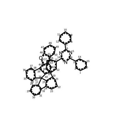 c1ccc(-c2nc(-c3ccccc3)nc(-c3cccc(-c4cccc5c4C4(c6ccccc6-5)c5ccccc5-c5c4ccc4c5oc5ccccc54)c3)n2)cc1